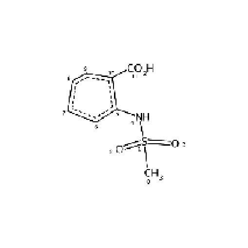 CS(=O)(=O)Nc1[c]cccc1C(=O)O